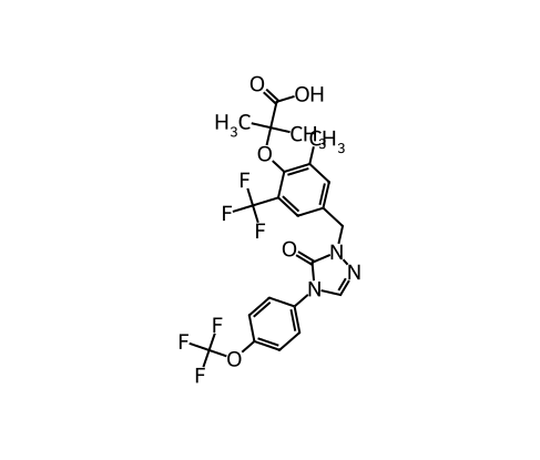 Cc1cc(Cn2ncn(-c3ccc(OC(F)(F)F)cc3)c2=O)cc(C(F)(F)F)c1OC(C)(C)C(=O)O